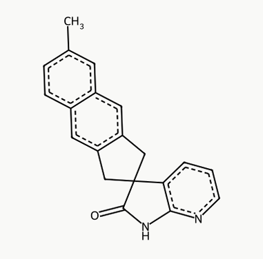 Cc1ccc2cc3c(cc2c1)CC1(C3)C(=O)Nc2ncccc21